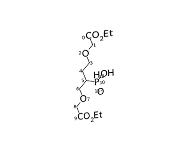 CCOC(=O)COCCC(COCC(=O)OCC)[PH](=O)O